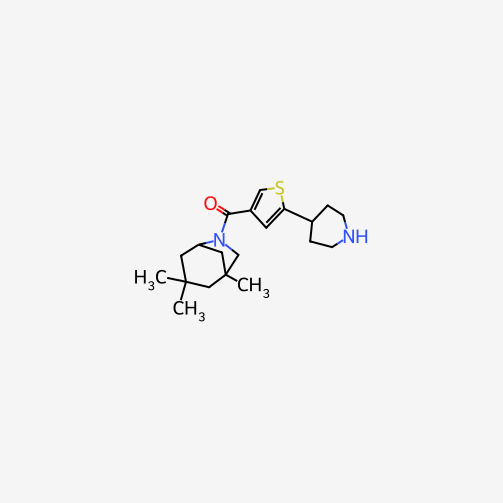 CC1(C)CC2CC(C)(CN2C(=O)c2csc(C3CCNCC3)c2)C1